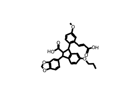 CCCOc1ccc2c(c1)C(c1ccc(OC)cc1/C=C/C(=O)O)C(C(=O)O)C2c1ccc2c(c1)OCO2